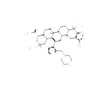 CC1(C)CC2C3=C(c4ccoc4CN4CCNCC4)CC4C5(C)Cc6c(n[nH]c6N)C(C)(C)C5CCC4(C)C3(C)CCC2[C@H](C(=O)O)C1